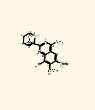 COc1cc2c(N)nc(N3CC4CCC3CN4)nc2c(F)c1OC